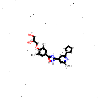 CCc1cc(-c2nc(-c3cc(OC)nc(C4CCCC4)c3)no2)cc(C)c1OC[C@@H](O)CO